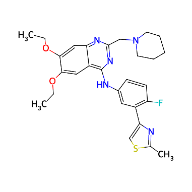 CCOc1cc2nc(CN3CCCCC3)nc(Nc3ccc(F)c(-c4csc(C)n4)c3)c2cc1OCC